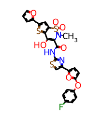 CN1C(C(=O)Nc2nc(-c3ccc(Oc4ccc(F)cc4)o3)cs2)=C(O)c2sc(-c3ccco3)cc2S1(=O)=O